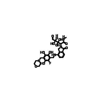 CNC(=O)C(N1Cc2c(NCc3c(O)c(O)c(CN4CCOCC4)c(O)c3F)cccc2C1=O)C(O)(O)C(O)(O)C=O